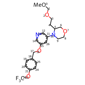 COCOCCC1COCCN1c1cncc(OCc2ccc(OC(F)(F)F)cc2)c1